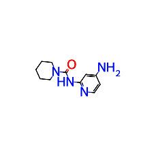 Nc1ccnc(NC(=O)N2CCCCC2)c1